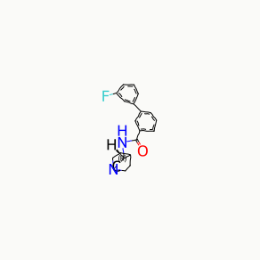 O=C(N[C@H]1CN2CCC1CC2)c1cccc(-c2cccc(F)c2)c1